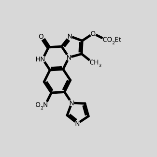 CCOC(=O)Oc1nc2c(=O)[nH]c3cc([N+](=O)[O-])c(-n4ccnc4)cc3n2c1C